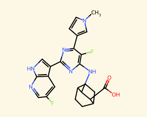 Cn1ccc(-c2nc(-c3c[nH]c4ncc(F)cc34)nc(NC3C4CCC(CC4)C3C(=O)O)c2F)c1